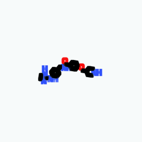 O=C(NCc1ccc(NC2=NCCN2)cc1)c1ccc(OCC2CCNCC2)cc1